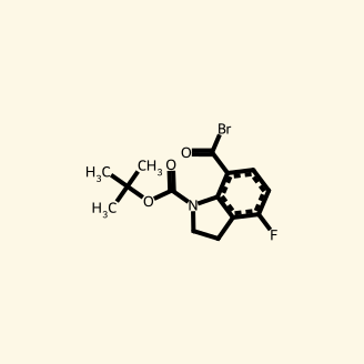 CC(C)(C)OC(=O)N1CCc2c(F)ccc(C(=O)Br)c21